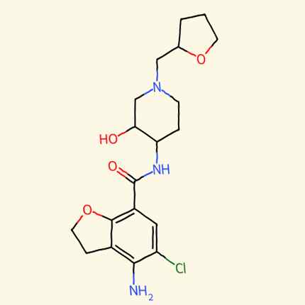 Nc1c(Cl)cc(C(=O)NC2CCN(CC3CCCO3)CC2O)c2c1CCO2